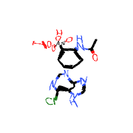 CC(=O)Nc1ccccc1[As](=O)(O)OO.Clc1ncnc2nc[nH]c12